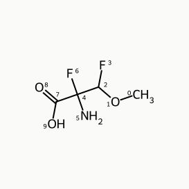 COC(F)C(N)(F)C(=O)O